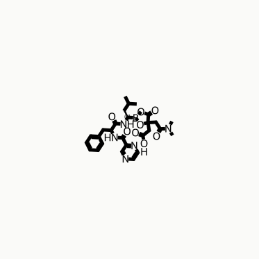 CC(C)C[C@H](NC(=O)C(Cc1ccccc1)NC(=O)c1cnccn1)B1OC(=O)C(CC(=O)O)(CC(=O)N(C)C)O1